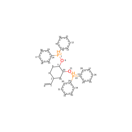 C=CC1CCC(O[PH2](c2ccccc2)c2ccccc2)C(O[PH2](c2ccccc2)c2ccccc2)C1